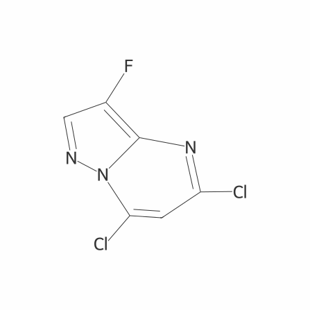 Fc1cnn2c(Cl)cc(Cl)nc12